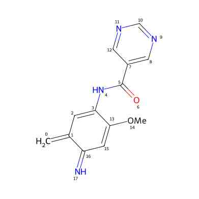 C=C1C=C(NC(=O)c2cncnc2)C(OC)=CC1=N